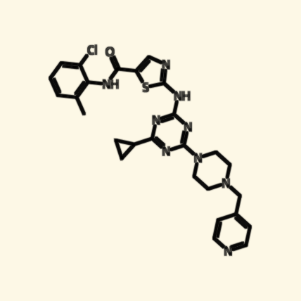 Cc1cccc(Cl)c1NC(=O)c1cnc(Nc2nc(C3CC3)nc(N3CCN(Cc4ccncc4)CC3)n2)s1